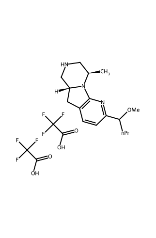 CCCC(OC)c1ccc2c(n1)N1[C@@H](CNC[C@H]1C)C2.O=C(O)C(F)(F)F.O=C(O)C(F)(F)F